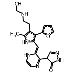 CCNCCc1c(C)[nH]c(C=C2NC=CN=C2C2C=NNC2=O)c1-c1ccco1